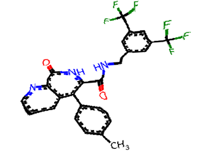 Cc1ccc(-c2c(C(=O)NCc3cc(C(F)(F)F)cc(C(F)(F)F)c3)[nH]c(=O)c3ncccc23)cc1